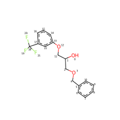 OC(COCc1ccccc1)COc1cccc(C(F)(F)F)c1